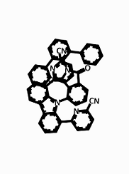 N#Cc1cccc(-c2cccc3c4cccc(-c5cccc(C#N)n5)c4n(-c4cccc5c4C(=O)N(c4c(-c6ccccc6)cccc4-c4ccccc4)C5=O)c23)n1